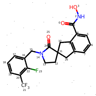 O=C(NO)c1cccc2c1CC1(CCN(Cc3cccc(C(F)(F)F)c3F)C1=O)C2